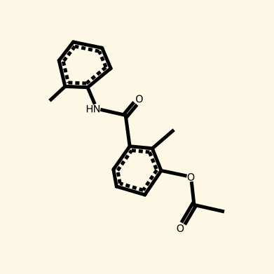 CC(=O)Oc1cccc(C(=O)Nc2ccccc2C)c1C